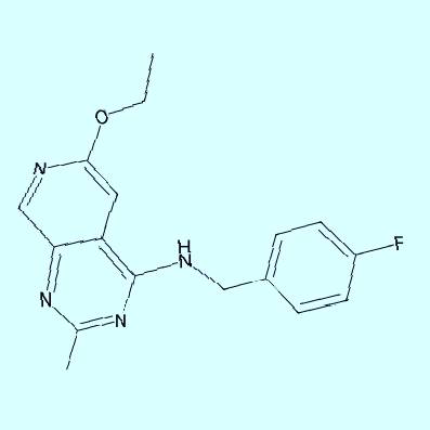 CCOc1cc2c(NCc3ccc(F)cc3)nc(C)nc2cn1